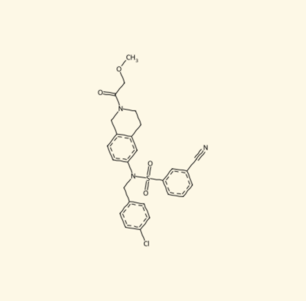 COCC(=O)N1CCc2cc(N(Cc3ccc(Cl)cc3)S(=O)(=O)c3cccc(C#N)c3)ccc2C1